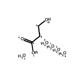 O.O.O.O.O.O=C(O)CCO